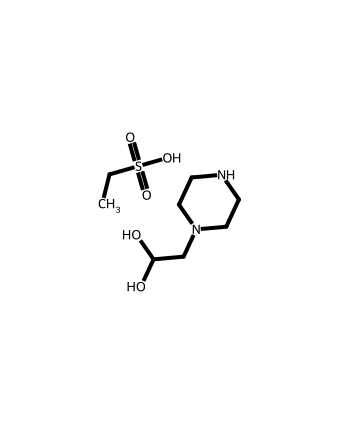 CCS(=O)(=O)O.OC(O)CN1CCNCC1